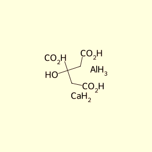 O=C(O)CC(O)(CC(=O)O)C(=O)O.[AlH3].[CaH2]